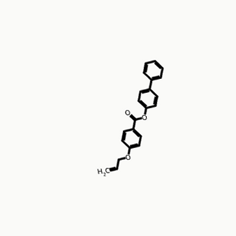 C=CCOc1ccc(C(=O)Oc2ccc(-c3ccccc3)cc2)cc1